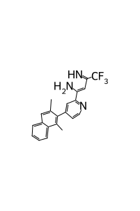 Cc1cc2ccccc2c(C)c1-c1ccnc(/C(N)=C/C(=N)C(F)(F)F)c1